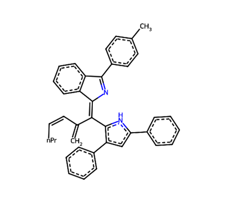 C=C(/C=C\CCC)/C(=C1/N=C(c2ccc(C)cc2)c2ccccc21)c1[nH]c(-c2ccccc2)cc1-c1ccccc1